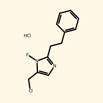 Cl.Fn1c(CCl)cnc1CCc1ccccc1